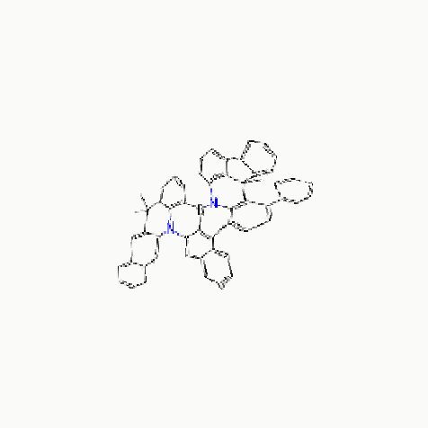 CC1(C)c2cc3ccccc3cc2N2c3cc4ccccc4c4c3B(c3cccc1c32)N1c2cccc3c2C(C)(c2ccccc2-3)c2c(-c3ccccc3)ccc-4c21